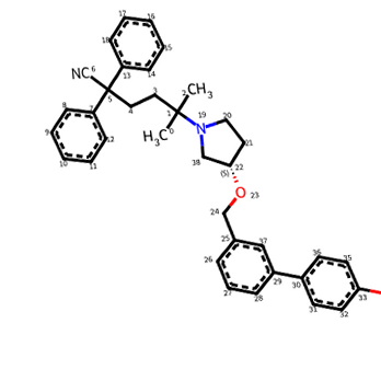 CC(C)(CCC(C#N)(c1ccccc1)c1ccccc1)N1CC[C@H](OCc2cccc(-c3ccc(O)cc3)c2)C1